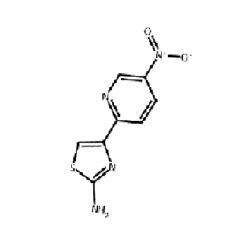 Nc1nc(-c2ccc([N+](=O)[O-])cn2)cs1